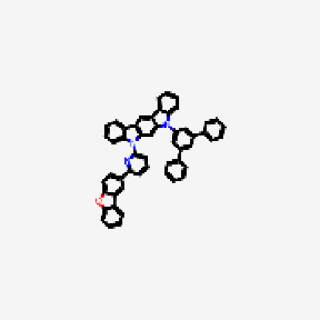 c1ccc(-c2cc(-c3ccccc3)cc(-n3c4ccccc4c4cc5c6ccccc6n(-c6cccc(-c7ccc8oc9ccccc9c8c7)n6)c5cc43)c2)cc1